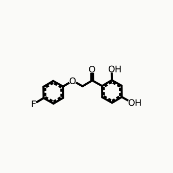 O=C(COc1ccc(F)cc1)c1ccc(O)cc1O